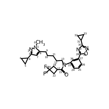 Cn1nc(C2CC2)cc1CCCCCN(C(=O)C1CC(F)(F)C1)c1cccc(-c2nc(C3CC3)no2)c1